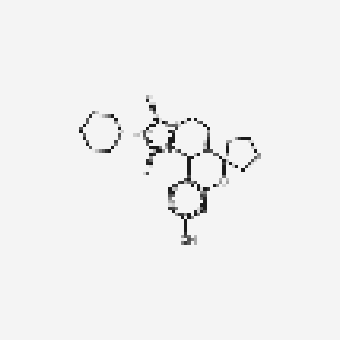 O=c1n(C2CCCCC2)c(=O)n2n1CC=C1C2c2ccc(O)cc2OC12CCCC2